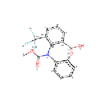 COC(=O)N(c1ccccc1)c1c(C(=O)O)cccc1C(F)(F)F